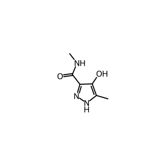 CNC(=O)c1n[nH]c(C)c1O